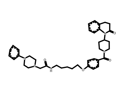 O=C(CN1CCN(c2ccccc2)CC1)NCCCCCOc1ccc(C(=O)N2CCC(N3C(=O)CCc4ccccc43)CC2)cc1